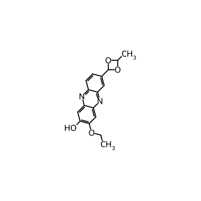 CCOc1cc2nc3cc(C4OC(C)O4)ccc3nc2cc1O